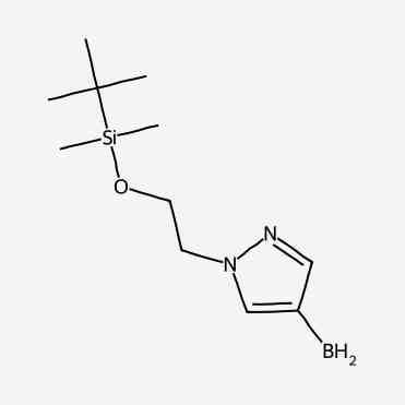 Bc1cnn(CCO[Si](C)(C)C(C)(C)C)c1